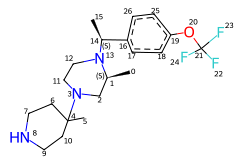 C[C@H]1CN(C2(C)CCNCC2)CCN1[C@@H](C)c1ccc(OC(F)(F)F)cc1